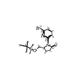 CC(C)(C)[Si](C)(C)OC[C@@H]1CCC(=O)N1c1cccc(Br)n1